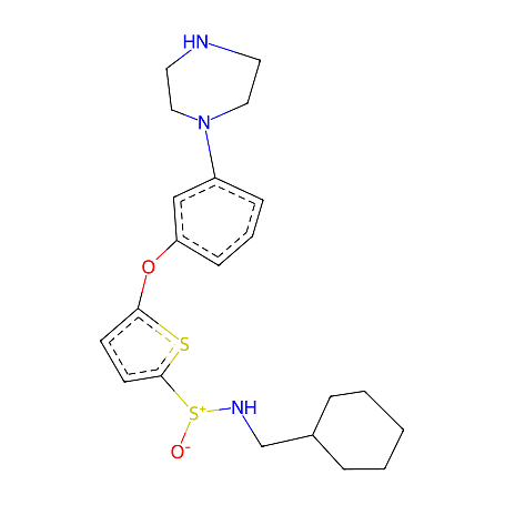 [O-][S+](NCC1CCCCC1)c1ccc(Oc2cccc(N3CCNCC3)c2)s1